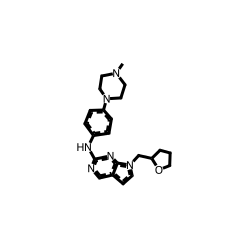 CN1CCN(c2ccc(Nc3ncc4ccn(CC5CCCO5)c4n3)cc2)CC1